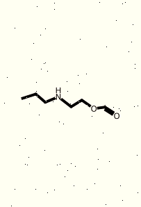 CCCNCCO[C]=O